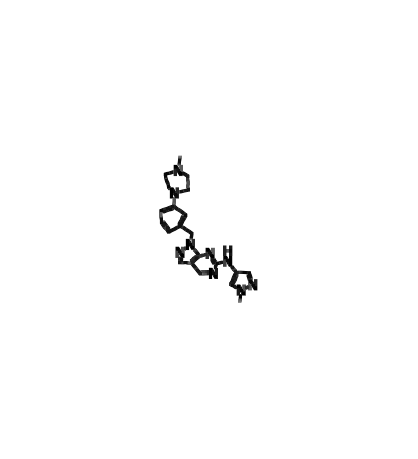 CN1CCN(c2cccc(Cn3ncc4cnc(Nc5cnn(C)c5)nc43)c2)CC1